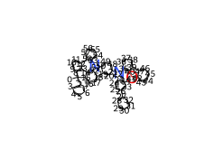 CC1(c2ccccc2)c2cccc3c2-c2c1ccc1c4cc(N(c5ccc(-c6ccccc6)cc5)c5cccc6c5oc5ccccc56)ccc4n(c21)-c1ccccc1-3